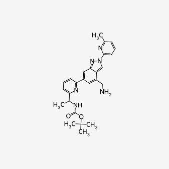 Cc1cccc(-n2cc3c(CN)cc(-c4cccc(C(C)NC(=O)OC(C)(C)C)n4)cc3n2)n1